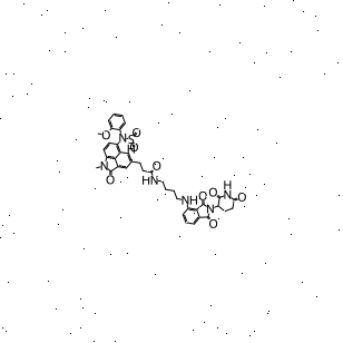 COc1ccccc1N(c1ccc2c3c(cc(CCC(=O)NCCCCNc4cccc5c4C(=O)N(C4CCC(=O)NC4=O)C5=O)cc13)C(=O)N2C)[SH](=O)=O